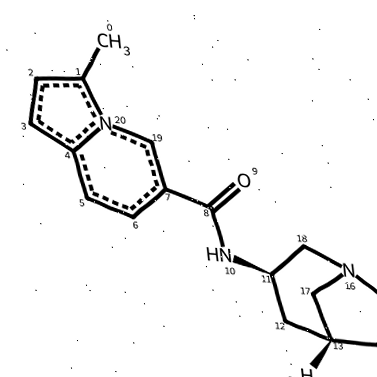 Cc1ccc2ccc(C(=O)N[C@@H]3C[C@H]4CCN(C4)C3)cn12